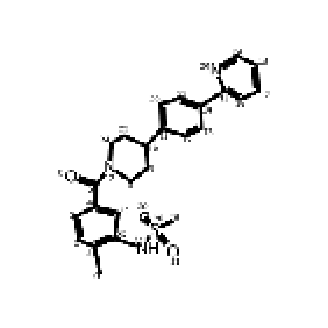 Cc1ccc(C(=O)N2CCC(c3ccc(-c4ccccn4)cc3)CC2)cc1NS(C)(=O)=O